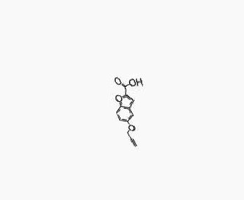 C#CCOc1ccc2oc(C(=O)O)cc2c1